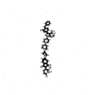 Nc1ncnc2c1c(-c1ccc(Cc3ccccc3)c(F)c1)nn2C1CCN(C2CCN(C3CN(c4ccc5c(c4)C(=O)C(C4CCC(=O)NC4=O)C5=O)C3)CC2)CC1